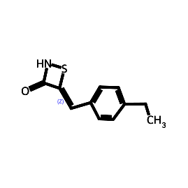 CCc1ccc(/C=C2\SNC2=O)cc1